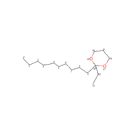 CCCCCCCCCCC1(CC)OCCCO1